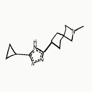 CN1CC2(CC(c3nnc(C4CC4)[nH]3)C2)C1